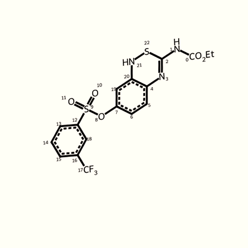 CCOC(=O)NC1=Nc2ccc(OS(=O)(=O)c3cccc(C(F)(F)F)c3)cc2NS1